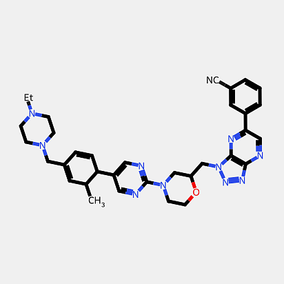 CCN1CCN(CC2=CC(C)C(c3cnc(N4CCOC(Cn5nnc6ncc(-c7cccc(C#N)c7)nc65)C4)nc3)C=C2)CC1